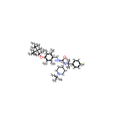 [2H]c1c([2H])c(OC([2H])([2H])C([2H])(C([2H])([2H])[2H])C([2H])([2H])[2H])c([2H])c([2H])c1CNC(=O)N(C1CCN(C([2H])([2H])[2H])CC1)C([2H])([2H])c1ccc(F)cc1